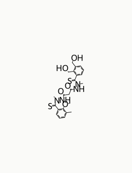 COc1c(C)cccc1C(=S)N(C)NC(=O)CC(=O)NN(C)C(=S)c1cccc(CO)c1CO